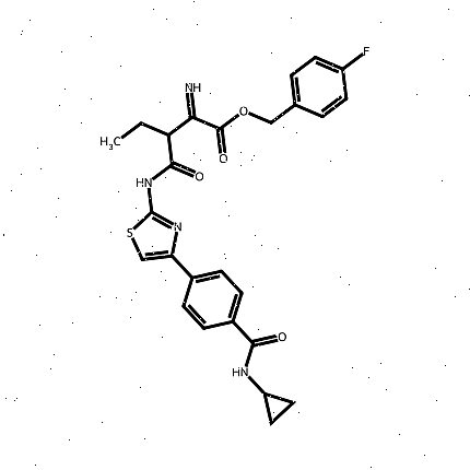 CCC(C(=N)C(=O)OCc1ccc(F)cc1)C(=O)Nc1nc(-c2ccc(C(=O)NC3CC3)cc2)cs1